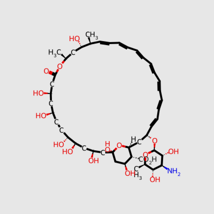 C[C@H]1C[C@H](O)[C@@H](C)/C=C/C=C/C=C/C=C/C=C/C=C/C=C/[C@H](O[C@@H]2O[C@H](C)[C@@H](O)[C@H](N)[C@H]2O)C[C@@H]2OC(O)(C[C@@H](O)C[C@@H](O)[C@H](O)CC[C@@H](O)C[C@@H](O)CC(=O)O1)C[C@H](O)[C@H]2C(=O)O